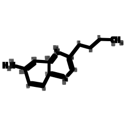 CCCCc1cnc2ccc(N)cc2n1